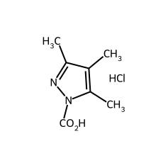 Cc1nn(C(=O)O)c(C)c1C.Cl